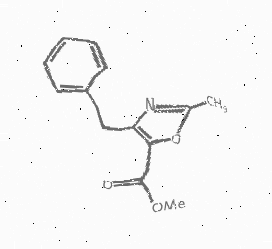 COC(=O)c1oc(C)nc1Cc1ccccc1